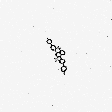 Cc1ccc(-c2ccc3c(c2)[Si](C)(C)c2cc4c5c(cccc5c2-3)[Si](C)(C)c2cc(-c3ccc(C)cc3)ccc2-4)cc1